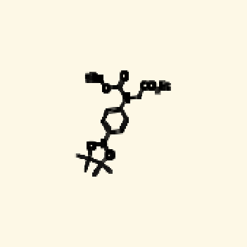 CCOC(=O)CN(C(=O)OC(C)(C)C)c1ccc(B2OC(C)(C)C(C)(C)O2)cc1